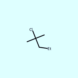 [CH2]CCC(C)(C)Cl